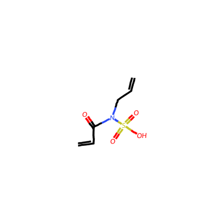 C=CCN(C(=O)C=C)S(=O)(=O)O